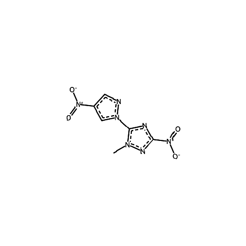 Cn1nc([N+](=O)[O-])nc1-n1cc([N+](=O)[O-])cn1